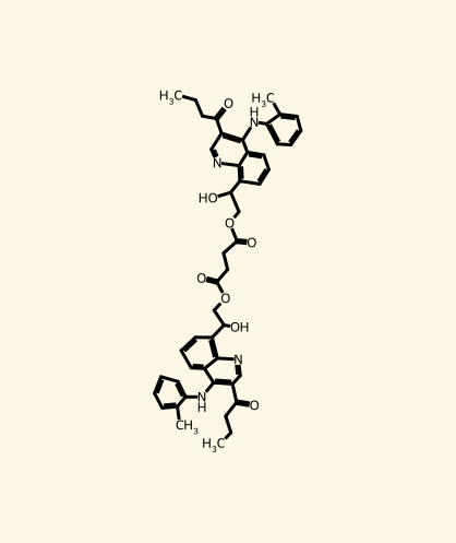 CCCC(=O)c1cnc2c(C(O)COC(=O)CCC(=O)OCC(O)c3cccc4c(Nc5ccccc5C)c(C(=O)CCC)cnc34)cccc2c1Nc1ccccc1C